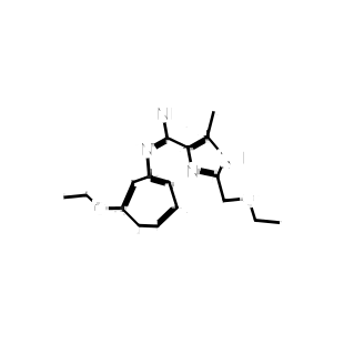 CCOCc1nc(/C(N)=N\C2=CC=CCC(OCC)=C2)c(C)[nH]1